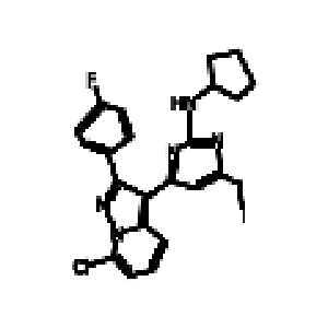 Fc1ccc(-c2nn3c(Cl)cccc3c2-c2cc(CI)nc(NC3CCCC3)n2)cc1